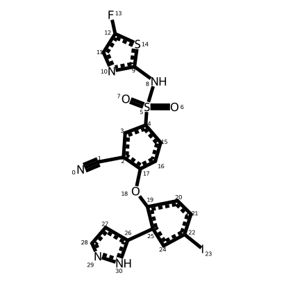 N#Cc1cc(S(=O)(=O)Nc2ncc(F)s2)ccc1Oc1ccc(I)cc1-c1ccn[nH]1